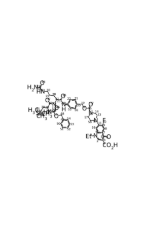 CCn1cc(C(=O)O)c(=O)c2cc(F)c(N3CCN(C(=O)OCc4ccc(NC(=O)C(CCCNC(N)=O)NC(=O)C(C[Si](C)(C)C)NC(=O)OCc5ccccc5)cc4)CC3)cc21